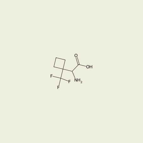 NC(C(=O)O)C1(C(F)(F)F)CCC1